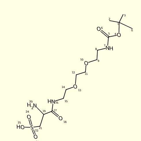 CC(C)(C)OC(=O)NCCOCCOCCNC(=O)C(N)CS(=O)(=O)O